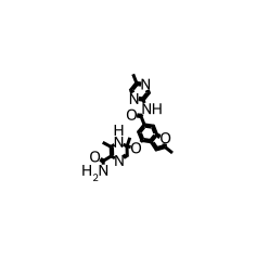 CC1=C(C(N)=O)N=CC(C)(Oc2cc(C(=O)Nc3cnc(C)cn3)cc3oc(C)cc23)N1